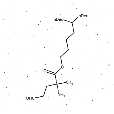 CCCCCCCCCCC(CCCCCCCCCC)CCCCOC(=O)C(C)(N)CCC=O